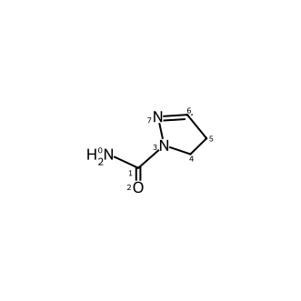 NC(=O)N1CC[C]=N1